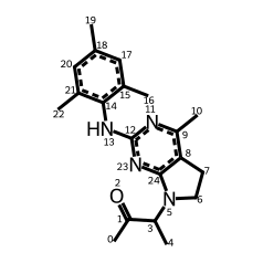 CC(=O)C(C)N1CCc2c(C)nc(Nc3c(C)cc(C)cc3C)nc21